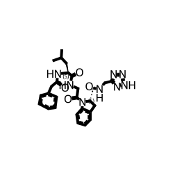 CC(C)C[C@H](NC(=O)Cc1ccccc1)C(=O)NCC(=O)N1c2ccccc2C[C@H]1C(=O)NCc1nn[nH]n1